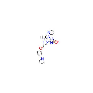 CN(c1ccccn1)c1n[s+]([O-])nc1NCCCOc1cccc(CN2CCCCC2)c1